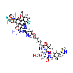 Cc1ncsc1-c1ccc(CNC(=O)[C@@H]2C[C@@H](O)CN2C(=O)[C@@H](NC(=O)CCCCCOc2ccc(Nc3[nH]nc(-c4ccc(NS(=O)(=O)C(F)F)c(O[C@@H](C)c5ccc(F)cc5)c4)c3C(N)=O)nc2)C(C)(C)C)cc1